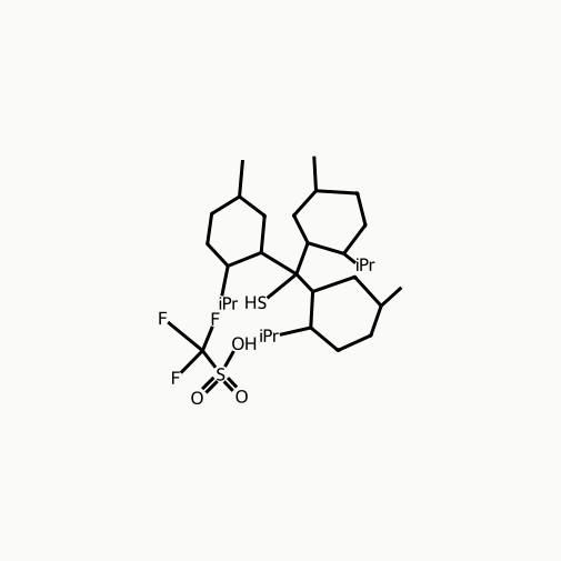 CC1CCC(C(C)C)C(C(S)(C2CC(C)CCC2C(C)C)C2CC(C)CCC2C(C)C)C1.O=S(=O)(O)C(F)(F)F